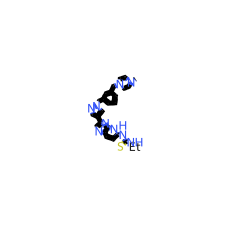 CCNC(=S)Nc1ccc2ncc(-c3cnn(Cc4cccc(CN5CCN(C)CC5)c4)c3)nc2n1